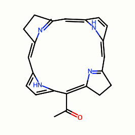 CC(=O)c1c2nc(cc3ccc(cc4nc(cc5ccc1[nH]5)CC4)[nH]3)CC2